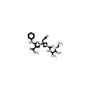 CCOC(O)C(C)NC(=O)N1CC(CC#N)(n2cc(C(N)=O)c(Nc3ccccc3)n2)C1